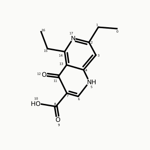 CCc1cc2[nH]cc(C(=O)O)c(=O)c2c(CC)n1